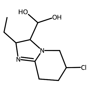 CCC1N=C2CCC(Cl)CN2C1C(O)O